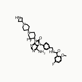 COc1ccc(F)cc1C(=O)NCc1ccc(-n2c(=O)n([C@@H]3CCN(C4CCN(C5CNC5)CC4)CC3(F)F)c3ncnc(N)c32)cc1